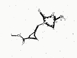 COC(=O)C1CC1=Cn1ccc(N)nc1=O